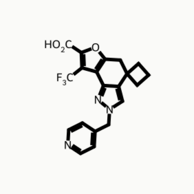 O=C(O)c1oc2c(c1C(F)(F)F)-c1nn(Cc3ccncc3)cc1C1(CCC1)C2